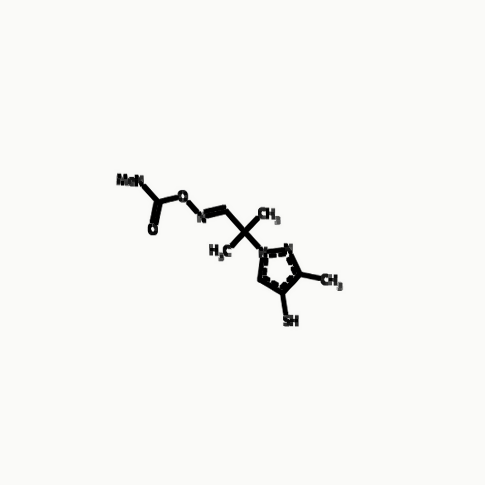 CNC(=O)ON=CC(C)(C)n1cc(S)c(C)n1